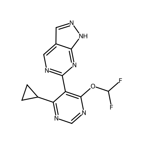 FC(F)Oc1ncnc(C2CC2)c1-c1ncc2cn[nH]c2n1